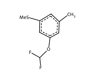 CSc1cc(C)cc(OC(F)F)c1